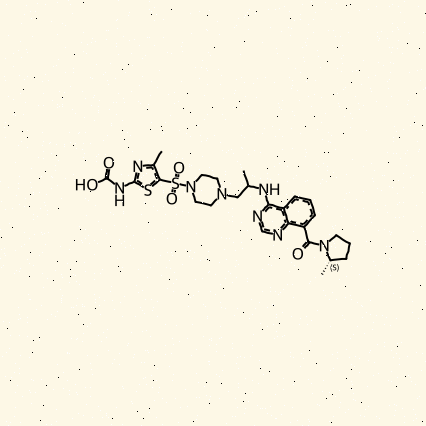 Cc1nc(NC(=O)O)sc1S(=O)(=O)N1CCN(CC(C)Nc2ncnc3c(C(=O)N4CCC[C@@H]4C)cccc23)CC1